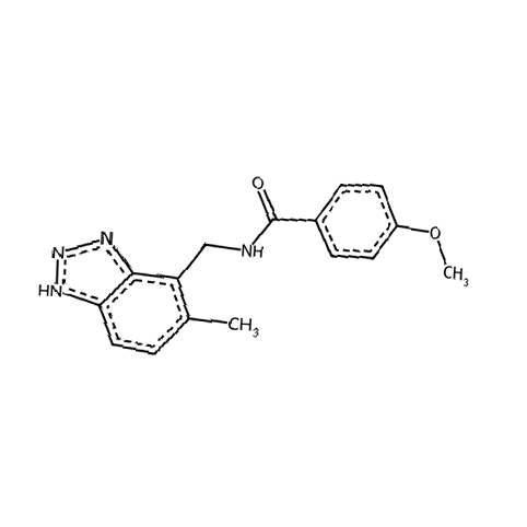 COc1ccc(C(=O)NCc2c(C)ccc3[nH]nnc23)cc1